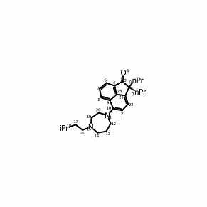 CCCC1(CCC)C(=O)c2cccc3c(N4CCCN(CCC(C)C)CC4)ccc1c23